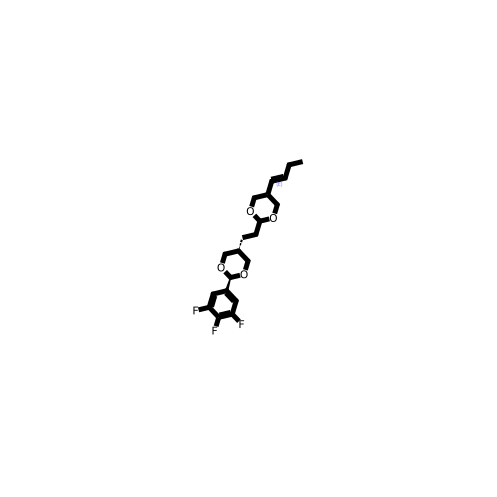 CC/C=C/C1COC(CC[C@H]2CO[C@H](c3cc(F)c(F)c(F)c3)OC2)OC1